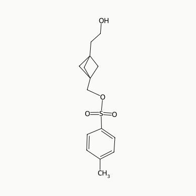 Cc1ccc(S(=O)(=O)OCC23CC(CCO)(C2)C3)cc1